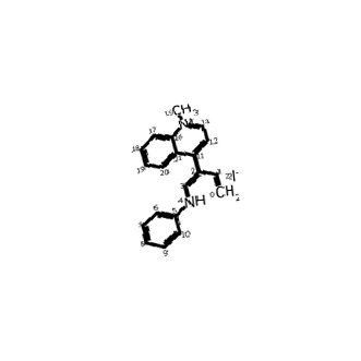 C=CC(=CNc1ccccc1)c1cc[n+](C)c2ccccc12.[I-]